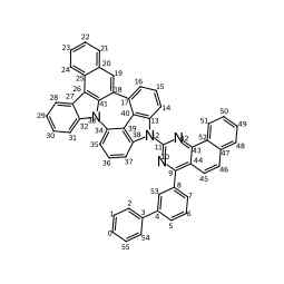 c1ccc(-c2cccc(-c3nc(-n4c5cccc6c7cc8ccccc8c8c9ccccc9n(c9cccc4c9c65)c78)nc4c3ccc3ccccc34)c2)cc1